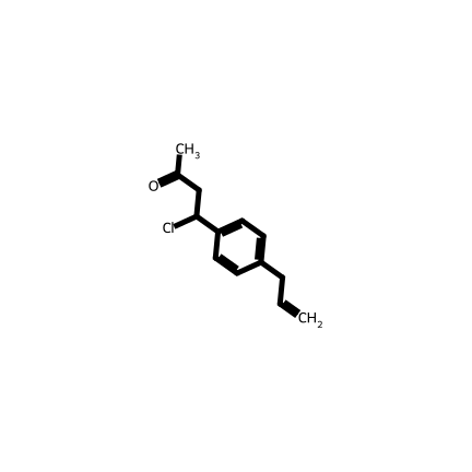 C=CCc1ccc(C(Cl)CC(C)=O)cc1